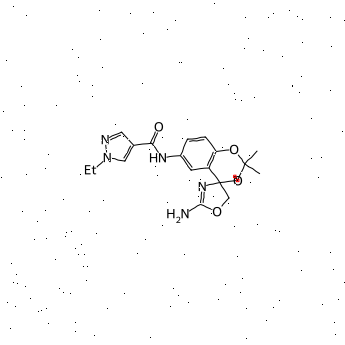 CCn1cc(C(=O)Nc2ccc3c(c2)C2(COC(N)=N2)C2(COC2)C(C)(C)O3)cn1